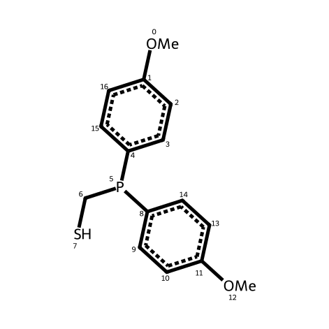 COc1ccc(P(CS)c2ccc(OC)cc2)cc1